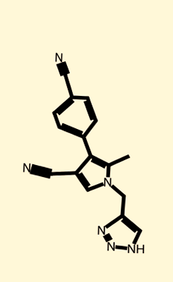 Cc1c(-c2ccc(C#N)cc2)c(C#N)cn1Cc1c[nH]nn1